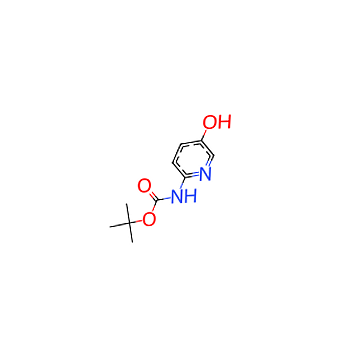 CC(C)(C)OC(=O)Nc1ccc(O)cn1